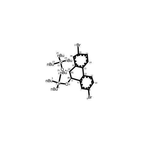 CCCC[Si](CCCC)(CCCC)O[C@@H]1c2cc(Br)ccc2-c2ccc(Br)cc2[C@H]1O[Si](CCCC)(CCCC)CCCC